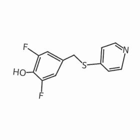 Oc1c(F)cc(CSc2ccncc2)cc1F